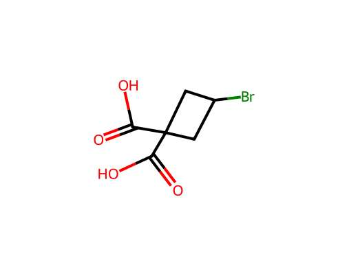 O=C(O)C1(C(=O)O)CC(Br)C1